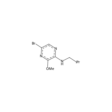 COc1nc(Br)cnc1NCC(C)C